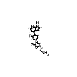 NCC[C@H]1CN(c2ccc(-c3ccnc4[nH]ccc34)c(F)c2)C(=O)O1